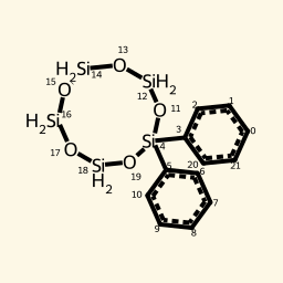 c1ccc([Si]2(c3ccccc3)O[SiH2]O[SiH2]O[SiH2]O[SiH2]O2)cc1